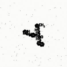 Cn1cccc1CNCCC[C@H](NC(=O)c1ccc(CNCc2ncc[nH]2)cc1)C(=O)NCc1cccc2ccccc12